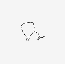 S=C([S-])OC1CCCCCCCCCCC1.[Na+]